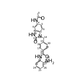 CC(=O)Nc1ccc2c(c1)[nH]c(=O)n2Cc1ccc(C(=O)Nc2ccccc2N)cc1